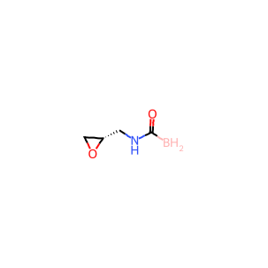 BC(=O)NC[C@H]1CO1